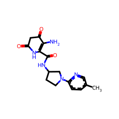 Cc1ccc(N2CCC(NC(=O)C3=C(N)C(=O)CC(=O)N3)C2)nc1